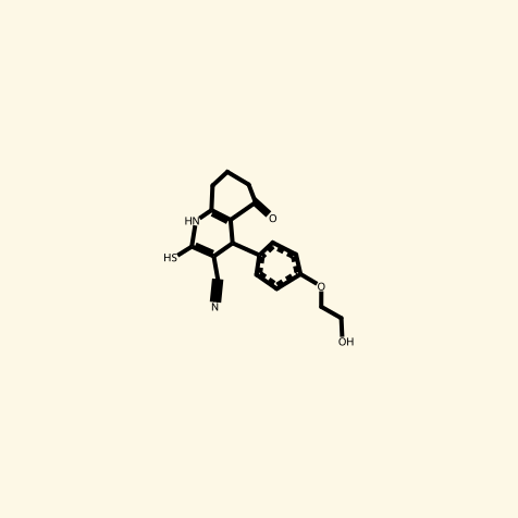 N#CC1=C(S)NC2=C(C(=O)CCC2)C1c1ccc(OCCO)cc1